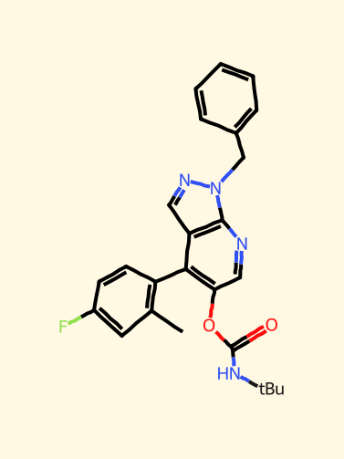 Cc1cc(F)ccc1-c1c(OC(=O)NC(C)(C)C)cnc2c1cnn2Cc1ccccc1